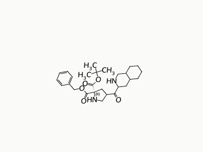 CC(C)(C)OC(=O)[C@]1(C(=O)OCc2ccccc2)CC(C(=O)C2CC3CCCCC3CN2)CN1